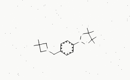 CC1(O)CN(Cc2ccc(B3OC(C)(C)C(C)(C)O3)cc2)C1